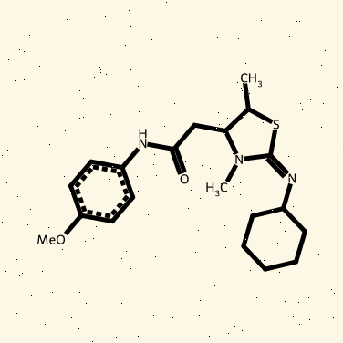 COc1ccc(NC(=O)CC2C(C)SC(=NC3CCCCC3)N2C)cc1